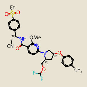 CCS(=O)(=O)c1ccc([C@@H](CC#N)NC(=O)c2ccc(N3C[C@@H](Oc4ccc(C(F)(F)F)cc4)C[C@H]3COC(F)F)nc2OC)cc1